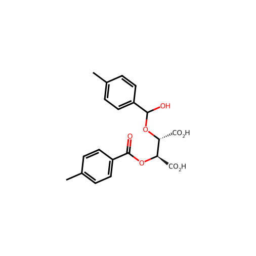 Cc1ccc(C(=O)O[C@H](C(=O)O)[C@H](OC(O)c2ccc(C)cc2)C(=O)O)cc1